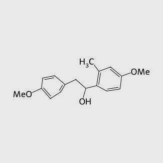 COc1ccc(CC(O)c2ccc(OC)cc2C)cc1